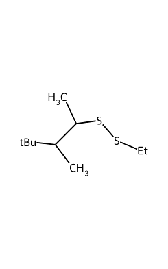 CCSSC(C)C(C)C(C)(C)C